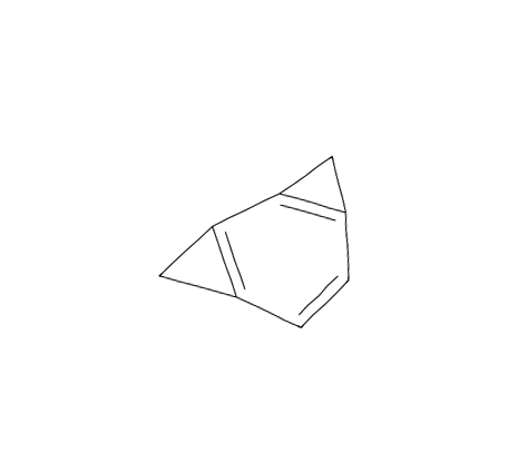 c1cc2c(c3c1C3)C2